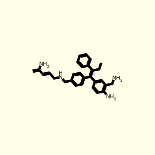 C=C(N)/C=C/CNCc1ccc(/C(=C(/CC)c2ccccc2)c2ccc(N)c(CN)c2)cc1